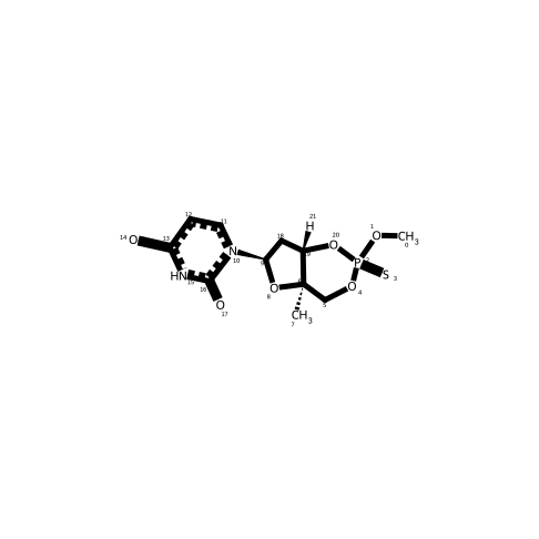 COP1(=S)OC[C@@]2(C)O[C@@H](n3ccc(=O)[nH]c3=O)C[C@@H]2O1